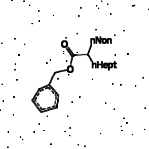 CCCCCCCCCC(CCCCCCC)C(=O)OCc1ccccc1